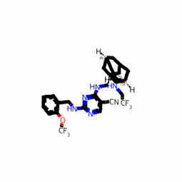 N#Cc1cnc(NCc2ccccc2OC(F)(F)F)nc1NC[C@@]12CC3C[C@H](C1)[C@@H](NCC(F)(F)F)[C@@H](C3)C2